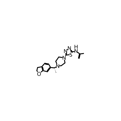 C=C(C)Nc1nnc(N2CCN([C@H](C)c3ccc4c(c3)OCC4)CC2)s1